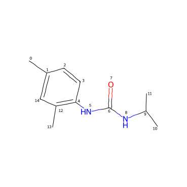 Cc1ccc(NC(=O)NC(C)C)c(C)c1